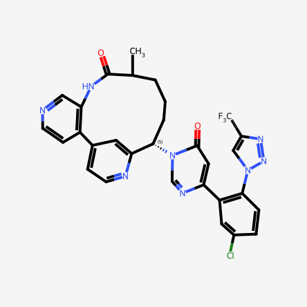 CC1CCC[C@H](n2cnc(-c3cc(Cl)ccc3-n3cc(C(F)(F)F)nn3)cc2=O)c2cc(ccn2)-c2ccncc2NC1=O